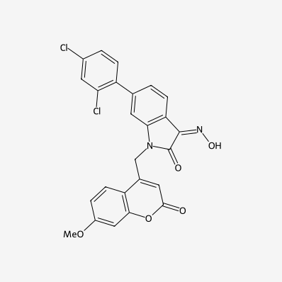 COc1ccc2c(CN3C(=O)/C(=N\O)c4ccc(-c5ccc(Cl)cc5Cl)cc43)cc(=O)oc2c1